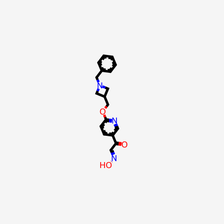 O=C(C=NO)c1ccc(OCC2CN(Cc3ccccc3)C2)nc1